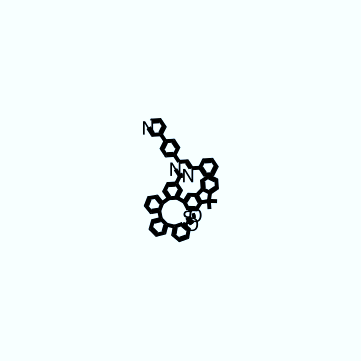 CC1(C)c2ccccc2-c2cc3c(cc21)S(=O)(=O)c1ccccc1-c1ccccc1-c1ccccc1-c1ccc(-c2nc(-c4ccccc4)cc(-c4ccc(-c5cccnc5)cc4)n2)cc1-3